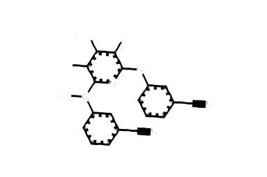 Cc1c(F)c(Nc2cccc(C#N)c2)nc(N(C)c2cccc(C#N)c2)c1F